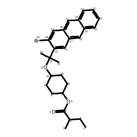 CCC(C)C(=O)OC1CCC(OC(C)(C)c2cc3cc4ccccc4cc3cc2Br)CC1